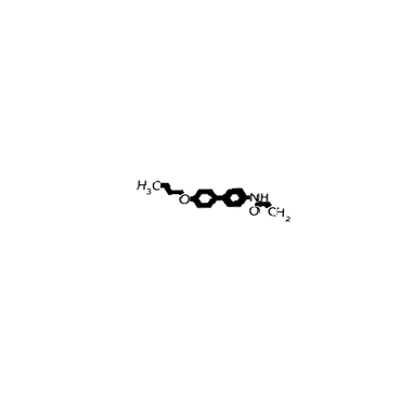 C=CC(=O)Nc1ccc(C2CCC(OCCCC)CC2)cc1